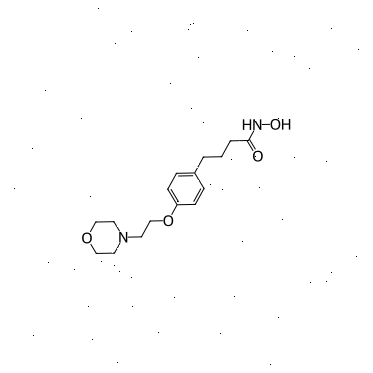 O=C(CCCc1ccc(OCCN2CCOCC2)cc1)NO